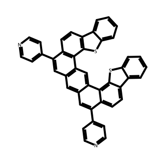 c1ccc2c(c1)sc1c2ccc2c(-c3ccncc3)cc3cc4cc(-c5ccncc5)c5ccc6c7ccccc7sc6c5c4cc3c21